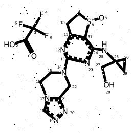 O=C(O)C(F)(F)F.[O-][S+]1CCc2nc(N3CCn4cnnc4C3)nc(NC3(CO)CC3)c21